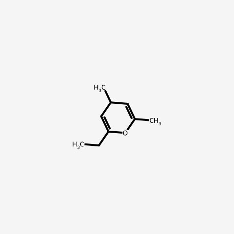 CCC1=CC(C)C=C(C)O1